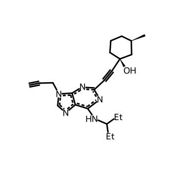 C#CCn1cnc2c(NC(CC)CC)nc(C#C[C@]3(O)CCC[C@@H](C)C3)nc21